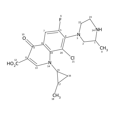 CC1CN(c2c(F)cc3c(=O)c(C(=O)O)cn(C4CC4C)c3c2Cl)CCN1